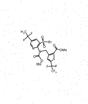 CCS(=O)(=O)c1cc(C(C)(F)F)cnc1N(Cc1cc(C(F)(F)C(F)(F)F)sc1C(=O)OC)C(=O)OC(C)(C)C